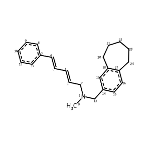 CN(C/C=C/C=C/c1ccccc1)Cc1ccc2c(c1)CCCCC2